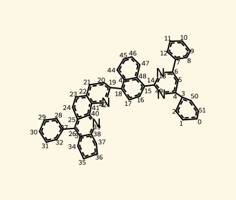 c1ccc(-c2cc(-c3ccccc3)nc(-c3ccc(-c4ccc5ccc6c(-c7ccccc7)c7ccccc7nc6c5n4)c4ccccc34)n2)cc1